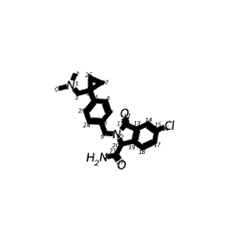 CN(C)CC1(c2ccc(CN3C(=O)c4cc(Cl)c[c]c4C3C(N)=O)cc2)CC1